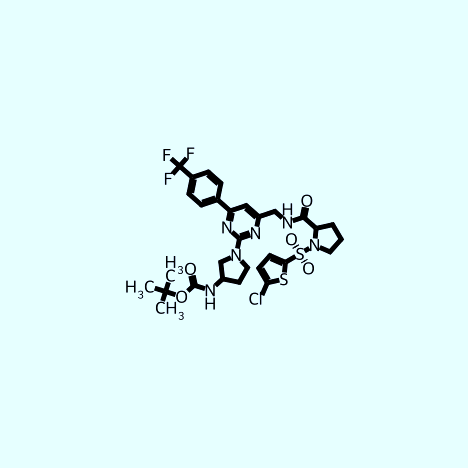 CC(C)(C)OC(=O)NC1CCN(c2nc(CNC(=O)C3CCCN3S(=O)(=O)c3ccc(Cl)s3)cc(-c3ccc(C(F)(F)F)cc3)n2)C1